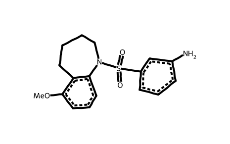 COc1cccc2c1CCCCN2S(=O)(=O)c1cccc(N)c1